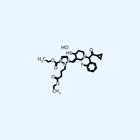 CCOC(=O)CCCN1N(/C=C2/CN(C(C(=O)C3CC3)c3ccccc3F)CCC2S)C=CN1C(=O)OCC.Cl